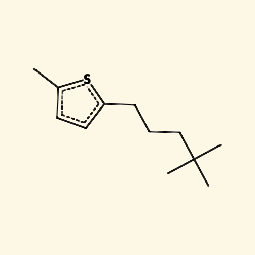 Cc1ccc(CCCC(C)(C)C)s1